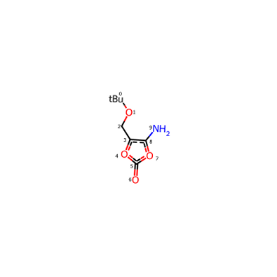 CC(C)(C)OCc1oc(=O)oc1N